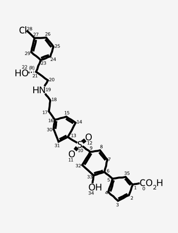 O=C(O)c1cccc(-c2ccc(S(=O)(=O)c3ccc(CCNC[C@H](O)c4cccc(Cl)c4)cc3)cc2O)c1